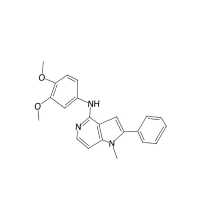 COc1ccc(Nc2nccc3c2cc(-c2ccccc2)n3C)cc1OC